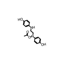 CC(=O)ON(CCNc1ccc(O)cc1)c1ccc(O)cc1